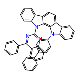 c1ccc(-c2ccc(-n3c4ccccc4c4ccc5c6ccccc6n(-c6nc(-c7ccccc7)c7ccccc7n6)c5c43)cc2)cc1